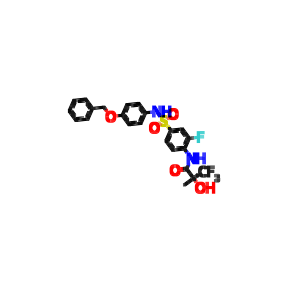 C[C@@](O)(C(=O)Nc1ccc(S(=O)(=O)Nc2ccc(OCc3ccccc3)cc2)cc1F)C(F)(F)F